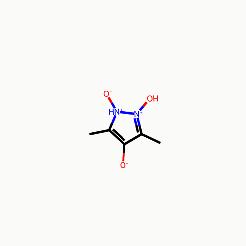 CC1=C([O-])C(C)=[N+](O)[NH+]1[O-]